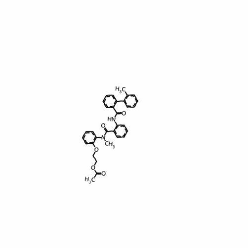 CC(=O)OCCOc1ccccc1N(C)C(=O)c1ccccc1NC(=O)c1ccccc1-c1ccccc1C